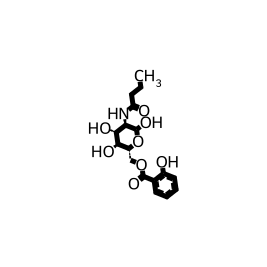 CCCC(=O)N[C@H]1C(O)O[C@H](COC(=O)c2ccccc2O)[C@@H](O)[C@@H]1O